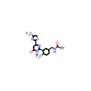 CC(C)C(=O)NCc1ccc(C(F)(F)F)c(-c2nc(-c3nc(C(F)(F)F)cs3)cc(=O)[nH]2)c1